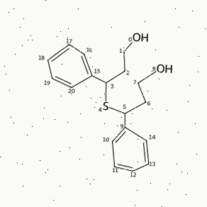 OCCC(SC(CCO)c1ccccc1)c1ccccc1